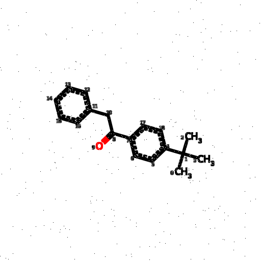 CC(C)(C)c1ccc(C(=O)Cc2ccccc2)cc1